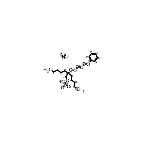 CCCCCC(CCCCC)(COP(=O)([O-])[O-])OOOOOOc1ccccc1.[Na+].[Na+]